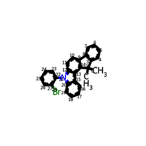 CC1(C)c2ccccc2-c2ccc3c(c21)c1ccccc1n3-c1ccccc1Br